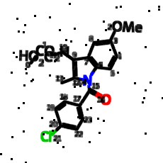 CC(=O)O.COc1ccc2c(c1)c(CC(=O)O)c(C)n2C(=O)c1ccc(Cl)cc1